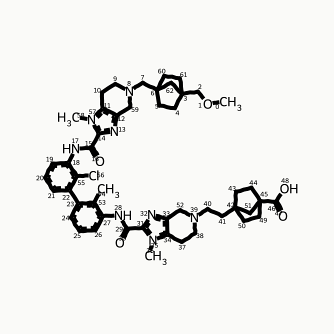 COCC12CCC(CN3CCc4c(nc(C(=O)Nc5cccc(-c6cccc(NC(=O)c7nc8c(n7C)CCN(CCC79CCC(C(=O)O)(CC7)C9)C8)c6C)c5Cl)n4C)C3)(CC1)C2